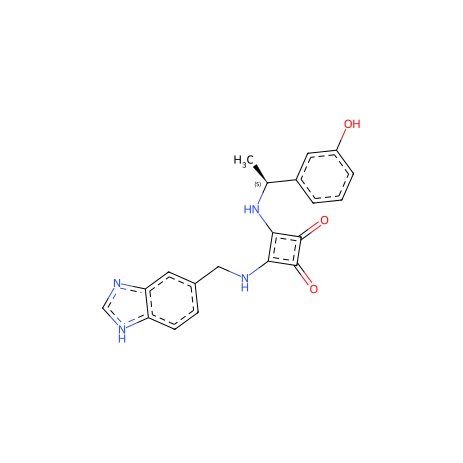 C[C@H](Nc1c(NCc2ccc3[nH]cnc3c2)c(=O)c1=O)c1cccc(O)c1